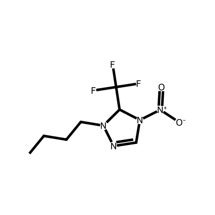 CCCCN1N=CN([N+](=O)[O-])C1C(F)(F)F